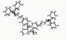 CCOc1ccccc1N(c1ccc(/C=C/C=N/N(c2ccccc2)c2ccccc2)cc1)c1ccc(/C=C/C=N/N(c2ccccc2)c2ccccc2)cc1